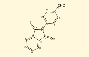 O=Cc1ccc(N2C(=S)c3ccccc3C2=S)cc1